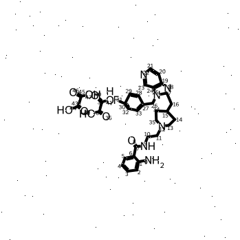 Nc1ccccc1C(=O)NCCN1CCC(Cc2nc3ccncc3n2Cc2ccc(F)cc2)CC1.O=C(O)C(=O)O.O=C(O)C(=O)O